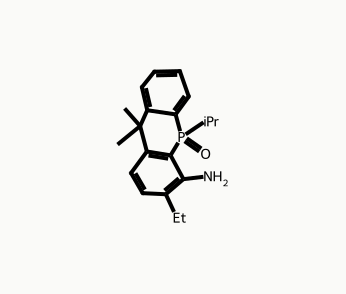 CCc1ccc2c(c1N)P(=O)(C(C)C)c1ccccc1C2(C)C